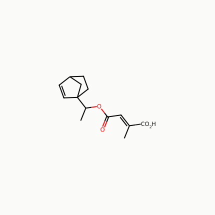 CC(=CC(=O)OC(C)C12C=CC(CC1)C2)C(=O)O